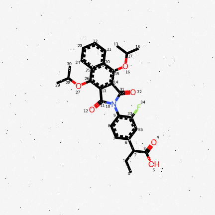 CCC(C(=O)O)c1ccc(N2C(=O)c3c(c(OC(C)C)c4ccccc4c3OC(C)C)C2=O)c(F)c1